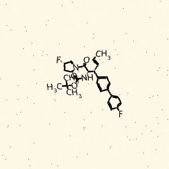 CC=C[C@@H](c1ccc(-c2ccc(F)cc2)cc1)[C@H](NC(=O)OC(C)(C)C)C(=O)N1CC[C@H](F)C1